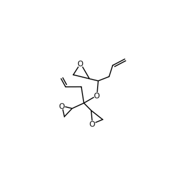 C=CCC(OC(CC=C)(C1CO1)C1CO1)C1CO1